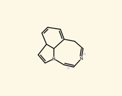 C1=CC2C=CN3/C=C\N=C/CC(=C1)C23